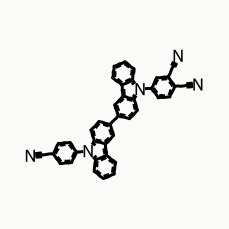 N#Cc1ccc(-n2c3ccccc3c3cc(-c4ccc5c(c4)c4ccccc4n5-c4ccc(C#N)c(C#N)c4)ccc32)cc1